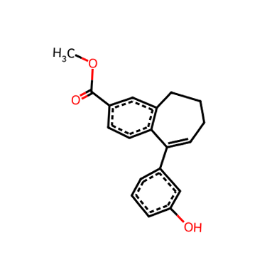 COC(=O)c1ccc2c(c1)CCCC=C2c1cccc(O)c1